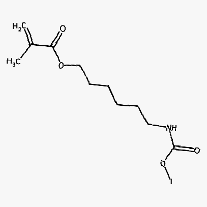 C=C(C)C(=O)OCCCCCCNC(=O)OI